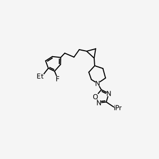 CCc1ccc(CCCC2CC2C2CCN(c3nc(C(C)C)no3)CC2)cc1F